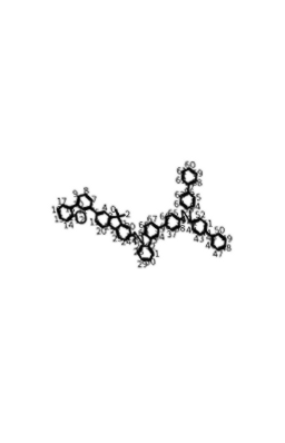 CC1(C)c2cc(-c3cccc4c3oc3ccccc34)ccc2-c2ccc(-n3c4ccccc4c4cc(-c5ccc(N(c6ccc(-c7ccccc7)cc6)c6ccc(-c7ccccc7)cc6)cc5)ccc43)cc21